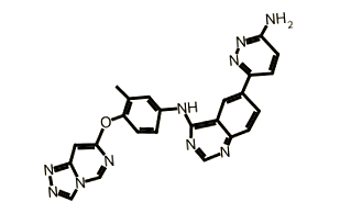 Cc1cc(Nc2ncnc3ccc(-c4ccc(N)nn4)cc23)ccc1Oc1cc2nncn2cn1